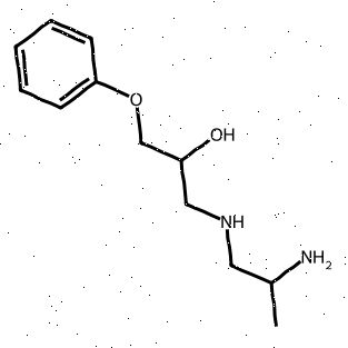 CC(N)CNCC(O)COc1ccccc1